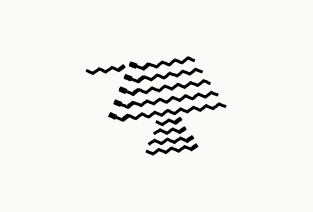 C#CC=CCCCCCCC.C#CC=CCCCCCCCCC.C#CC=CCCCCCCCCCCC.C#CC=CCCCCCCCCCCCCC.C#CC=CCCCCCCCCCCCCCCC.C=CCCC.C=CCCCC.C=CCCCCC.C=CCCCCCC.C=CCCCCCCC